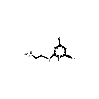 Cc1cc(=O)[nH]c(SCCC(=O)O)n1